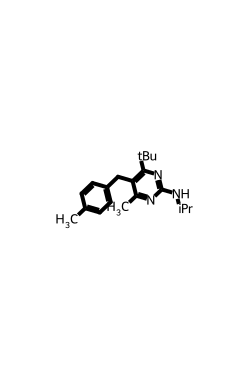 Cc1ccc(Cc2c(C)nc(NC(C)C)nc2C(C)(C)C)cc1